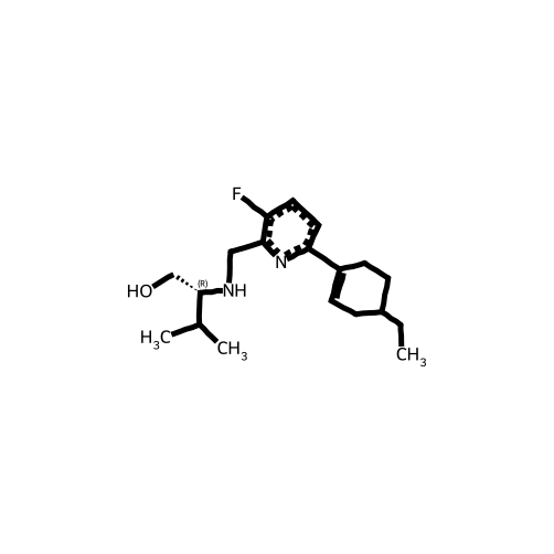 CCC1CC=C(c2ccc(F)c(CN[C@@H](CO)C(C)C)n2)CC1